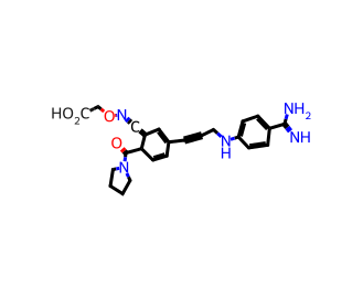 N=C(N)c1ccc(NCC#CC2=CC(=C=NOCC(=O)O)C(C(=O)N3CCCC3)C=C2)cc1